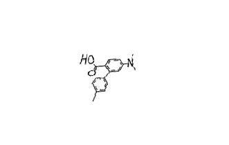 Cc1ccc(-c2cc(N(C)C)ccc2C(=O)O)cc1